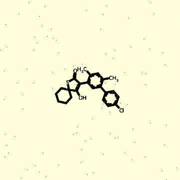 Cc1cc(C)c(-c2ccc(Cl)cc2)cc1C1=C(O)C2(CCCCC2)SC1=O